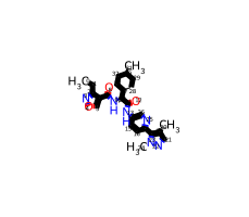 CCc1nocc1C(=O)N[C@H](C(=O)Nc1ccc(-c2c(C)cnn2C)nc1)[C@H]1CC[C@H](C)CC1